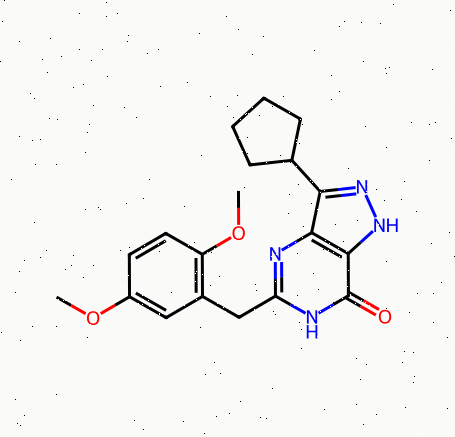 COc1ccc(OC)c(Cc2nc3c(C4CCCC4)n[nH]c3c(=O)[nH]2)c1